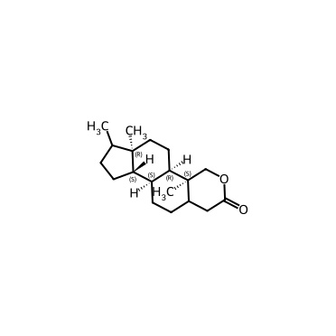 CC1CC[C@H]2[C@@H]3CCC4CC(=O)OC[C@]4(C)[C@@H]3CC[C@]12C